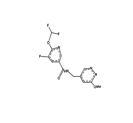 COc1cc(CNC(=O)c2cnc(OC(F)F)c(F)c2)cnn1